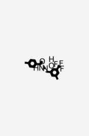 Cc1ccc(C(=O)N/N=C/c2cc(C)cc(C(F)(F)F)c2O)cc1